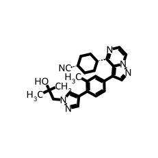 Cc1cc(-c2cnn3ccnc([C@H]4CC[C@@H](C#N)CC4)c23)ccc1-c1cnn(CC(C)(C)O)c1